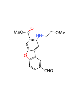 COCCNc1cc2c(cc1C(=O)OC)oc1ccc(C=O)cc12